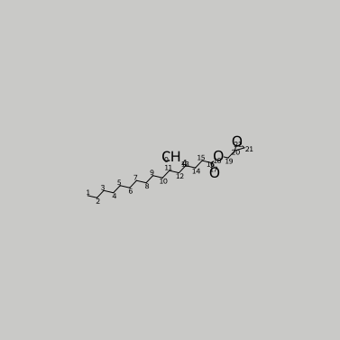 C.CCCCCCCCCCCCCCCC(=O)OCC1CO1